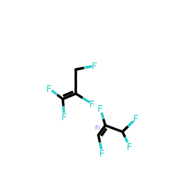 F/C=C(/F)C(F)F.FCC(F)=C(F)F